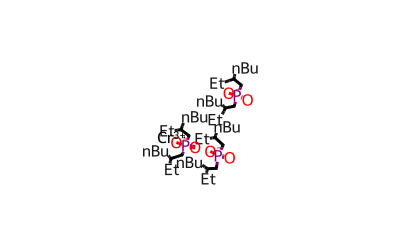 CCCCC(CC)CP(=O)([O-])CC(CC)CCCC.CCCCC(CC)CP(=O)([O-])CC(CC)CCCC.CCCCC(CC)CP(=O)([O-])CC(CC)CCCC.[Cr+3]